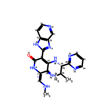 CN/C=C1/NC(=O)C(c2nc3cnccc3[nH]2)=C(N[C@H](c2ncccn2)C(C)C)C1=N